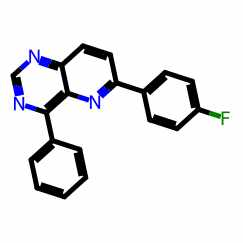 Fc1ccc(-c2ccc3ncnc(-c4ccccc4)c3n2)cc1